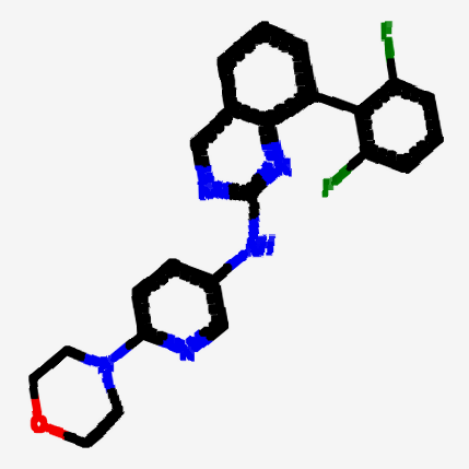 Fc1cccc(F)c1-c1cccc2cnc(Nc3ccc(N4CCOCC4)nc3)nc12